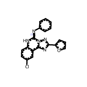 Clc1ccc2[nH]/c(=N/c3ccccc3)n3nc(-c4ccco4)nc3c2c1